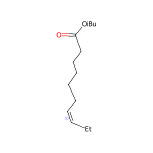 CC/C=C\CCCCCC(=O)OCC(C)C